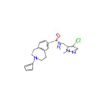 Cn1ncc(Cl)c1CNC(=O)c1ccc2c(c1)CCN(C1=CC=C1)CC2